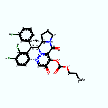 COCCOC(=O)Oc1c2n(ncc1=O)[C@@H]([C@H](c1cccc(F)c1)c1cccc(F)c1F)[C@H]1CCCN1C2=O